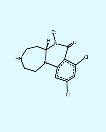 CCN1C(=O)c2c(Cl)cc(Cl)cc2N2CCNCC[C@H]12